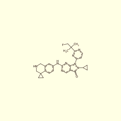 CC(C)(CF)c1nccc(-n2c3nc(Nc4ccc5c(c4)CNCC54CC4)ncc3c(=O)n2C2CC2)n1